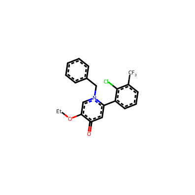 CCOc1cn(Cc2ccccc2)c(-c2cccc(C(F)(F)F)c2Cl)cc1=O